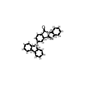 O=C1c2ccc(-n3c4ccccc4c4ccccc43)cc2-c2nc3ccccc3n21